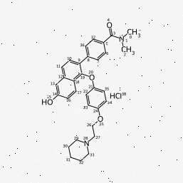 CN(C)C(=O)c1ccc(-c2ccc3cc(O)ccc3c2Oc2ccc(OCCN3CCCCC3)cc2)cc1.Cl